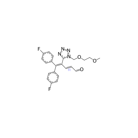 COCCOCn1nnnc1C(/C=C/C=O)=C(c1ccc(F)cc1)c1ccc(F)cc1